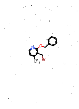 FC(F)(F)c1ccnc(OCc2ccccc2)c1CBr